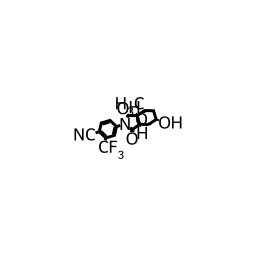 CC12C[C@@H](O)C(O1)[C@H]1C(=O)N(c3ccc(C#N)c(C(F)(F)F)c3)C(=O)[C@H]12